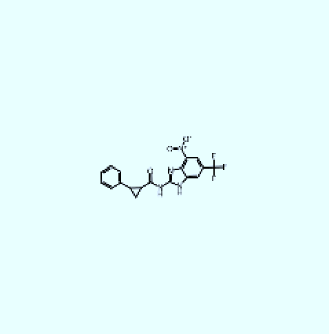 O=C(Nc1nc2c([N+](=O)[O-])cc(C(F)(F)F)cc2[nH]1)C1CC1c1ccccc1